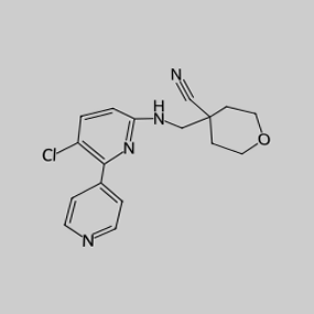 N#CC1(CNc2ccc(Cl)c(-c3ccncc3)n2)CCOCC1